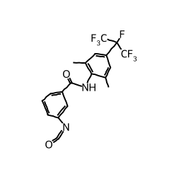 Cc1cc(C(F)(C(F)(F)F)C(F)(F)F)cc(C)c1NC(=O)c1cccc(N=C=O)c1